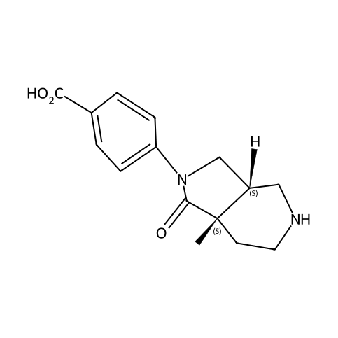 C[C@]12CCNC[C@H]1CN(c1ccc(C(=O)O)cc1)C2=O